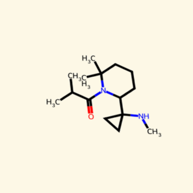 CNC1(C2CCCC(C)(C)N2C(=O)C(C)C)CC1